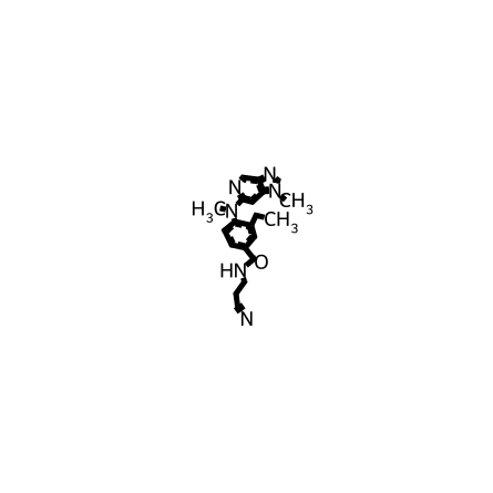 CCc1cc(C(=O)NCCC#N)ccc1N(C)c1cc2c(cn1)ncn2C